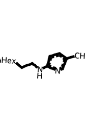 CCCCCCCCNc1ccc(C)cn1